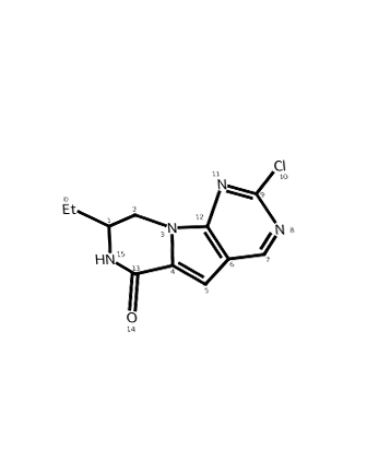 CCC1Cn2c(cc3cnc(Cl)nc32)C(=O)N1